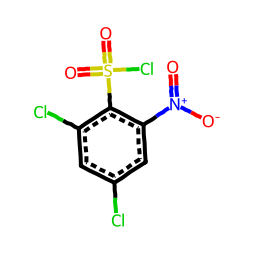 O=[N+]([O-])c1cc(Cl)cc(Cl)c1S(=O)(=O)Cl